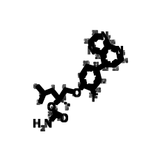 CC(C)C[C@@](C)(COc1ccc(-c2ccnc3nccnc23)cc1F)OC(N)=O